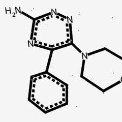 Nc1nnc(N2C[CH]OCC2)c(-c2ccccc2)n1